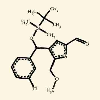 COCc1sc(C=O)cc1C(O[Si](C)(C)C(C)(C)C)c1cccc(Cl)c1